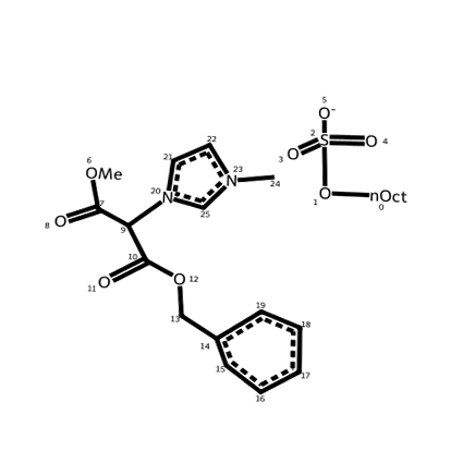 CCCCCCCCOS(=O)(=O)[O-].COC(=O)C(C(=O)OCc1ccccc1)[n+]1ccn(C)c1